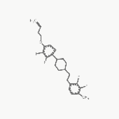 C=CCCOc1ccc(C2CCC(CCc3ccc(C)c(F)c3F)CC2)c(F)c1F